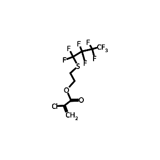 C=C(Cl)C(=O)OCCSC(F)(F)C(F)(F)C(F)(F)C(F)(F)F